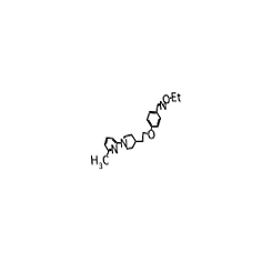 CCON=Cc1ccc(OCCC2CCN(c3cccc(C)n3)CC2)cc1